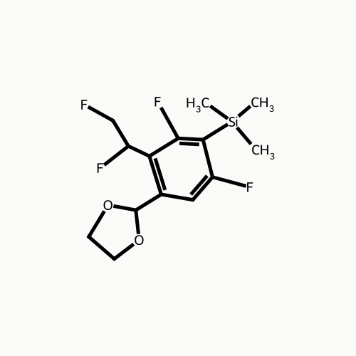 C[Si](C)(C)c1c(F)cc(C2OCCO2)c(C(F)CF)c1F